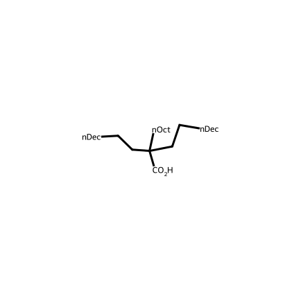 CCCCCCCCCCCCC(CCCCCCCC)(CCCCCCCCCCCC)C(=O)O